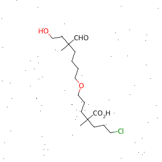 CC(C=O)(CCO)CCCCOCCCC(C)(CCCCl)C(=O)O